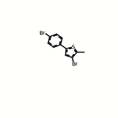 Cc1sc(-c2ccc(Br)cc2)cc1Br